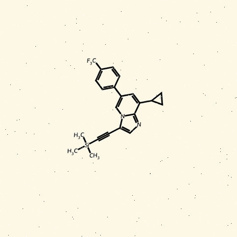 C[Si](C)(C)C#Cc1cnc2c(C3CC3)cc(-c3ccc(C(F)(F)F)cc3)cn12